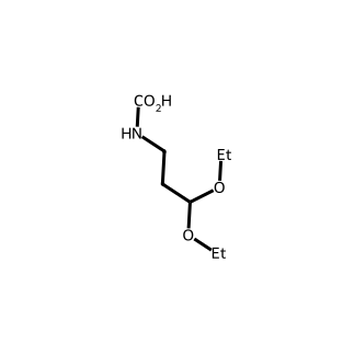 CCOC(CCNC(=O)O)OCC